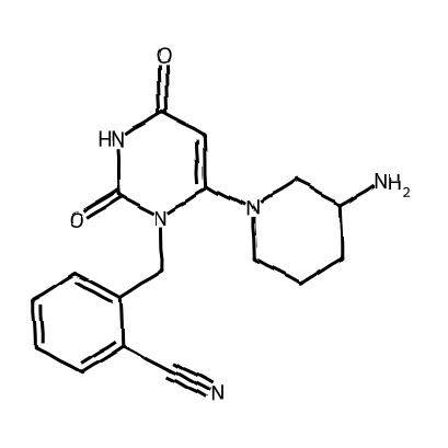 N#Cc1ccccc1Cn1c(N2CCCC(N)C2)cc(=O)[nH]c1=O